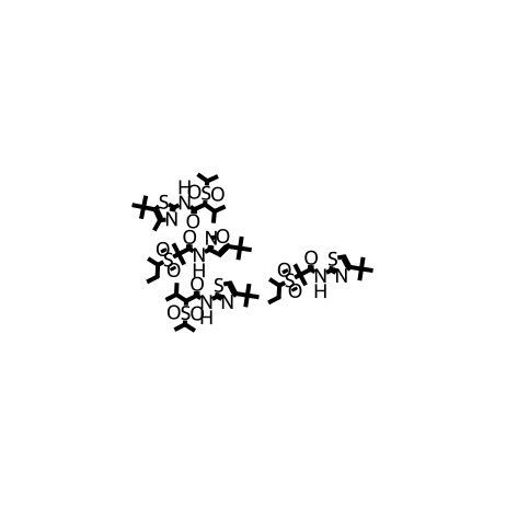 CC(C)C(C(=O)Nc1nc(C(C)(C)C)cs1)S(=O)(=O)C(C)C.CCC(C)S(=O)(=O)C(C)(C)C(=O)Nc1cc(C(C)(C)C)on1.CCC(C)S(=O)(=O)C(C)(C)C(=O)Nc1nc(C(C)(C)C)cs1.Cc1nc(NC(=O)C(C(C)C)S(=O)(=O)C(C)C)sc1C(C)(C)C